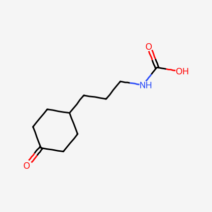 O=C1CCC(CCCNC(=O)O)CC1